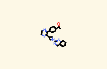 CC(=O)c1ccc(-c2nccnc2C2CN(c3ncc4ccccc4n3)C2)cc1